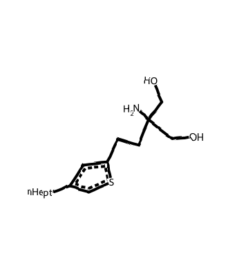 CCCCCCCc1csc(CCC(N)(CO)CO)c1